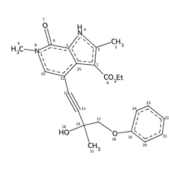 CCOC(=O)c1c(C)[nH]c2c(=O)n(C)cc(C#CC(C)(O)COc3ccccc3)c12